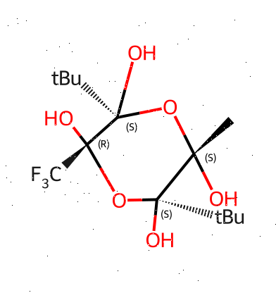 CC(C)(C)[C@]1(O)O[C@@](O)(C(F)(F)F)[C@](O)(C(C)(C)C)O[C@]1(C)O